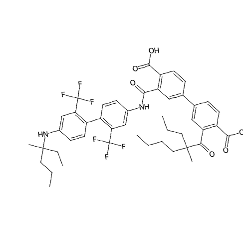 CCCCC(C)(CCC)C(=O)c1cc(-c2ccc(C(=O)O)c(C(=O)Nc3ccc(-c4ccc(NC(C)(CC)CCC)cc4C(F)(F)F)c(C(F)(F)F)c3)c2)ccc1C(=O)O